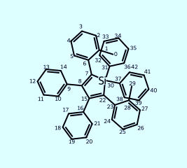 Cc1ccccc1C1=C(c2ccccc2)C(c2ccccc2)=C(c2ccccc2C)[Si]1(c1ccccc1)c1ccccc1